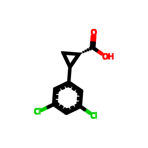 O=C(O)[C@H]1CC1c1cc(Cl)cc(Cl)c1